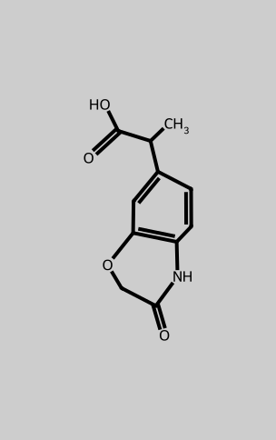 CC(C(=O)O)c1ccc2c(c1)OCC(=O)N2